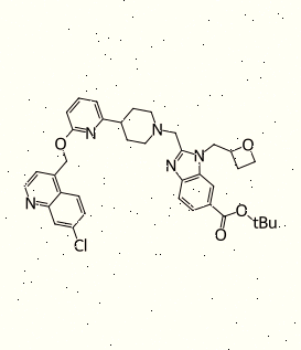 CC(C)(C)OC(=O)c1ccc2nc(CN3CCC(c4cccc(OCc5ccnc6cc(Cl)ccc56)n4)CC3)n(CC3CCO3)c2c1